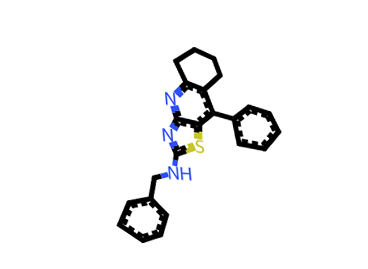 c1ccc(CNc2nc3nc4c(c(-c5ccccc5)c3s2)CCCC4)cc1